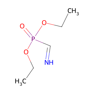 CCOP(=O)(C=N)OCC